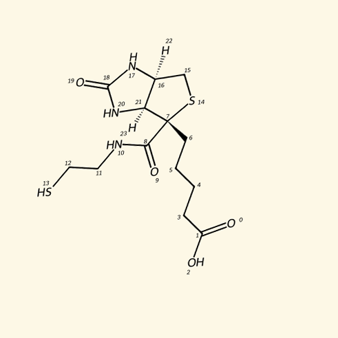 O=C(O)CCCC[C@]1(C(=O)NCCS)SC[C@@H]2NC(=O)N[C@@H]21